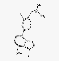 COc1ccc(-c2ccc(C[C@H](N)C#N)c(F)c2)c2ccn(C)c12